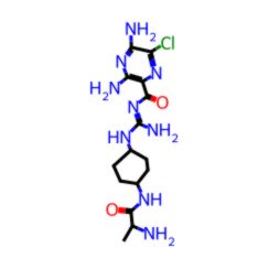 CC(N)C(=O)NC1CCC(N/C(N)=N/C(=O)c2nc(Cl)c(N)nc2N)CC1